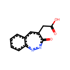 O=C(O)Cc1cc2ccccc2nnc1=O